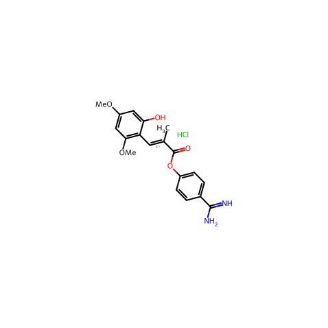 COc1cc(O)c(/C=C(\C)C(=O)Oc2ccc(C(=N)N)cc2)c(OC)c1.Cl